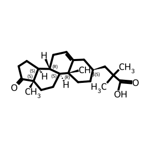 CC(C)(C[C@H]1CC[C@@]2(C)C(=CC[C@@H]3[C@@H]2CC[C@]2(C)C(=O)CC[C@@H]32)C1)C(=O)O